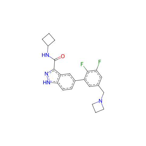 O=C(NC1CCC1)c1n[nH]c2ccc(-c3cc(CN4CCC4)cc(F)c3F)cc12